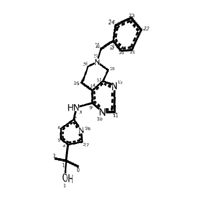 CC(C)(O)c1ccc(Nc2ncnc3c2CCN(Cc2ccccc2)C3)nc1